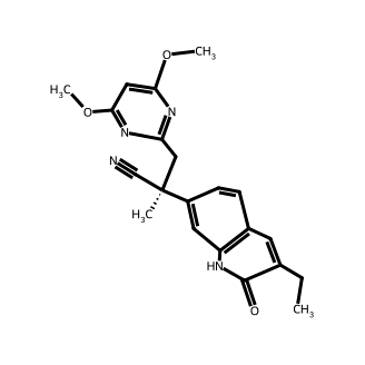 CCc1cc2ccc([C@@](C)(C#N)Cc3nc(OC)cc(OC)n3)cc2[nH]c1=O